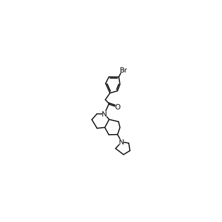 O=C(Cc1ccc(Br)cc1)N1CCCC2CC(N3CCCC3)CCC21